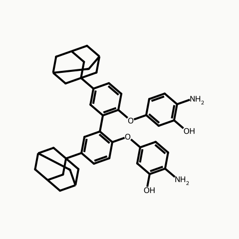 Nc1ccc(Oc2ccc(C34CC5CC(CC(C5)C3)C4)cc2-c2cc(C34CC5CC(CC(C5)C3)C4)ccc2Oc2ccc(N)c(O)c2)cc1O